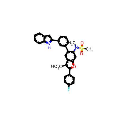 CN(c1cc2oc(-c3ccc(F)cc3)c(C(=O)O)c2cc1-c1cccc(-c2cc3ccccc3[nH]2)c1)S(C)(=O)=O